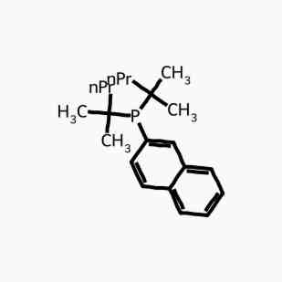 CCCC(C)(C)P(c1ccc2ccccc2c1)C(C)(C)CCC